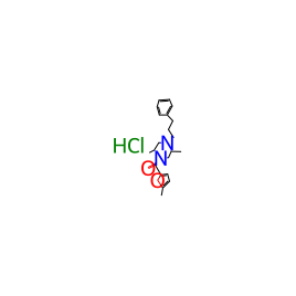 Cc1ccc(C(=O)N2CC(C)N(CCCc3ccccc3)CC2C)o1.Cl